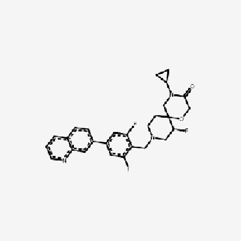 O=C1COC2(CCN(Cc3c(F)cc(-c4ccc5cccnc5c4)cc3F)C[C@@H]2F)CN1C1CC1